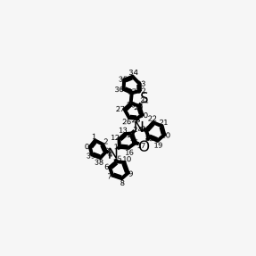 c1ccc(N(c2ccccc2)c2ccc3c(c2)Oc2ccccc2N3c2ccc3c(c2)sc2ccccc23)cc1